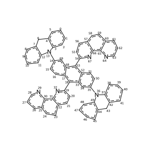 c1ccc2c(c1)Cc1ccccc1N2c1ccc2c(-c3ccc4ccc5cccnc5c4n3)c3cc(N4c5ccccc5Cc5ccccc54)ccc3c(-c3ccc4ccc5cccnc5c4n3)c2c1